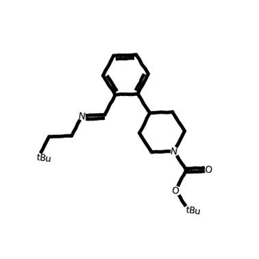 CC(C)(C)CC/N=C/c1ccccc1C1CCN(C(=O)OC(C)(C)C)CC1